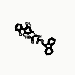 Cc1ccccc1-c1ccc(C[C@H](NC(=O)OCC2c3ccccc3-c3ccccc32)C(=O)O)cc1C